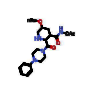 CCCCOC1CNC(C(=O)N2CCN(c3ccccc3)CC2)C(C(=O)NOC(C)=O)C1